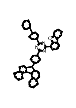 c1ccc(-c2ccc(-c3nc(-c4ccc(C5c6ccc7ccccc7c6-c6c5ccc5ccccc65)cc4)nc(-c4cccc5c4oc4ccccc45)n3)cc2)cc1